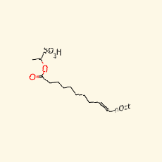 CCCCCCCCC=CCCCCCCCC(=O)OC(C)S(=O)(=O)O